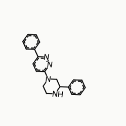 c1ccc(-c2ccc(N3CCNC(c4ccccc4)C3)nn2)cc1